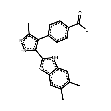 Cc1cc2nc(-c3[nH]nc(C)c3-c3ccc(C(=O)O)cc3)[nH]c2cc1C